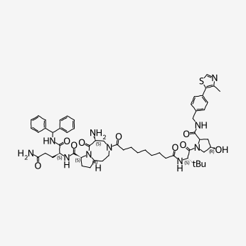 Cc1ncsc1-c1ccc(CNC(=O)C2C[C@@H](O)CN2C(=O)[C@@H](NC(=O)CCCCCCCC(=O)N2CC[C@H]3CC[C@@H](C(=O)N[C@@H](CCC(N)=O)C(=O)NC(c4ccccc4)c4ccccc4)N3C(=O)[C@@H](N)C2)C(C)(C)C)cc1